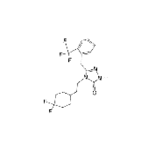 Cn1nc(Cc2ccccc2C(F)(F)F)n(CCC2CCC(F)(F)CC2)c1=O